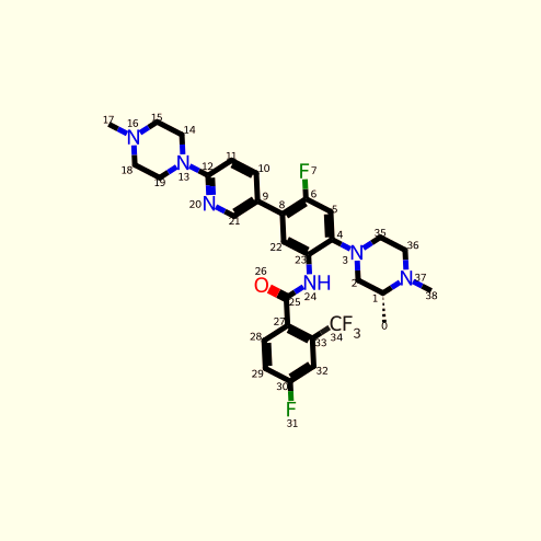 C[C@@H]1CN(c2cc(F)c(-c3ccc(N4CCN(C)CC4)nc3)cc2NC(=O)c2ccc(F)cc2C(F)(F)F)CCN1C